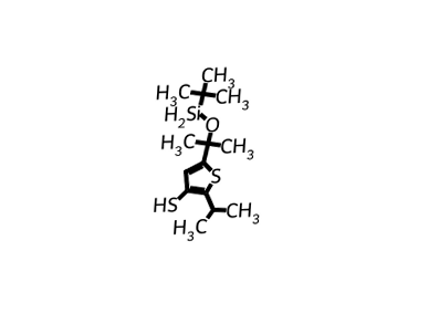 CC(C)c1sc(C(C)(C)O[SiH2]C(C)(C)C)cc1S